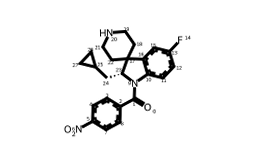 O=C(c1ccc([N+](=O)[O-])cc1)N1c2ccc(F)cc2C2(CCNCC2)[C@H]1CC1CC1